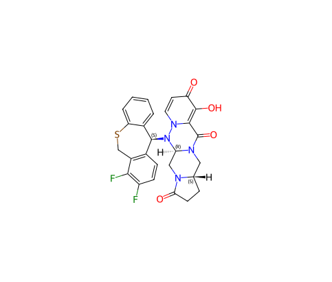 O=C1CC[C@H]2CN3C(=O)c4c(O)c(=O)ccn4N([C@@H]4c5ccccc5SCc5c4ccc(F)c5F)[C@@H]3CN12